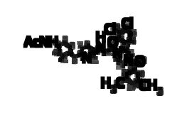 CC(=O)Nc1ccc(CC2CC3CN2CC3NCC(=O)N2CCN(C(=O)c3cc(C)cc(C)c3)C[C@H]2c2ccc(Cl)c(Cl)c2)cc1